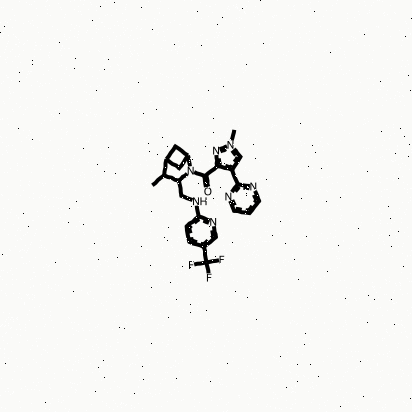 CC1C2CC(C2)N(C(=O)c2nn(C)cc2-c2ncccn2)C1CNc1ccc(C(F)(F)F)cn1